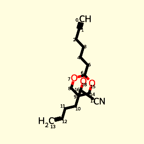 C#CCCCCC12OCC(CCC=C)(CO1)C(C#N)O2